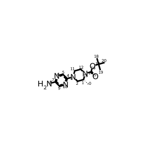 C[C@@H]1CN(c2cnc(N)cn2)CCN1C(=O)OC(C)(C)C